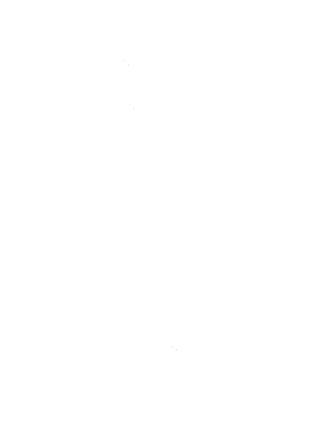 c1ccc(-c2cccc(-c3nc(-c4cccc(-c5ccc(-c6cc7c(-c8ccc9ccccc9c8)nc8ccccc8c7c7ccccc67)cc5)c4)c4ccccc4n3)c2)cc1